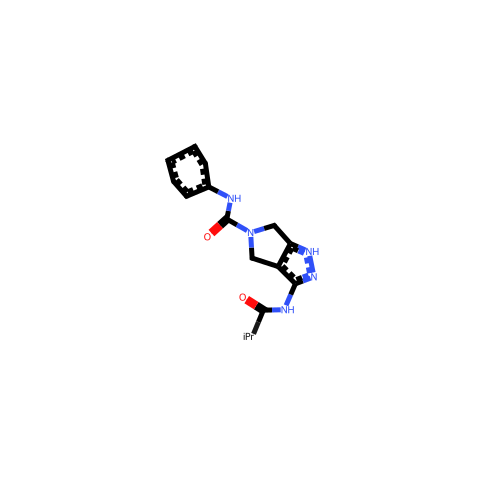 CC(C)C(=O)Nc1n[nH]c2c1CN(C(=O)Nc1ccccc1)C2